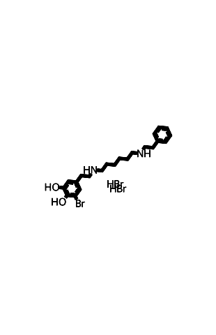 Br.Br.Oc1cc(CCNCCCCCCNCCc2ccccc2)cc(Br)c1O